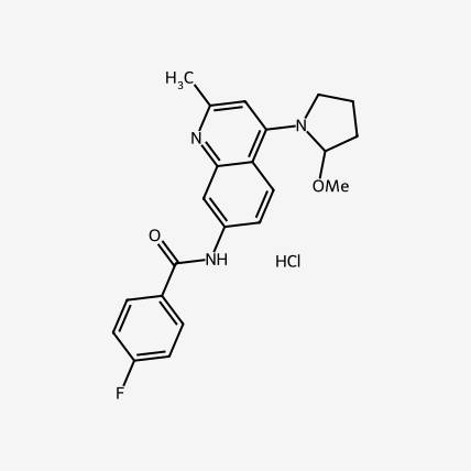 COC1CCCN1c1cc(C)nc2cc(NC(=O)c3ccc(F)cc3)ccc12.Cl